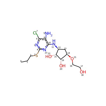 CCCSc1nc(Cl)c(N)c(N[C@H]2C[C@@H](OCCO)[C@H](O)[C@@H]2O)n1